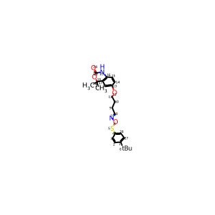 CC(C)(C)c1ccc(SON=CCCCOc2ccc3c(c2)C(C)(C)OC(=O)N3)cc1